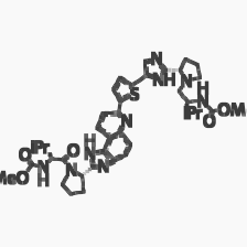 COC(=O)N[C@H](C(=O)N1CCC[C@H]1c1nc2ccc3nc(-c4ccc(-c5cnc([C@@H]6CCCN6C[C@@H](NC(=O)OC)C(C)C)[nH]5)s4)ccc3c2[nH]1)C(C)C